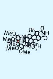 COc1cc(NC(=N)c2c(C(=O)O)c(Br)c3c4ccc5c6c(cc(Br)c(c7ccc(C(=O)Nc8cc(OC)c(OC)c(OC)c8)c2c73)c64)C(=O)NC5=O)cc(OC)c1OC